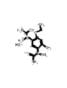 CCOc1cc(C)c(N(N)C(N)=O)cc1N(N)C(N)=O.Cl